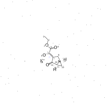 CCOC(=O)/C([O-])=C1\C[C@H]2C[C@H]2C1=O.[K+]